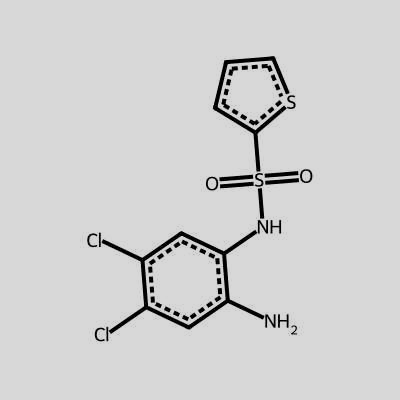 Nc1cc(Cl)c(Cl)cc1NS(=O)(=O)c1cccs1